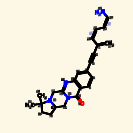 C=C(C#Cc1ccc2c(=O)n3c(nc2c1)CN1C(CCC1(C)C)C3)/C=C\C=C/N